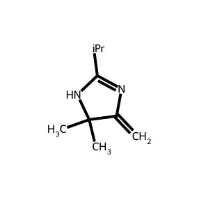 C=C1N=C(C(C)C)NC1(C)C